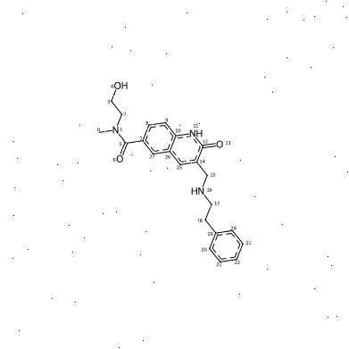 CN(CCO)C(=O)c1ccc2[nH]c(=O)c(CNCCc3ccccc3)cc2c1